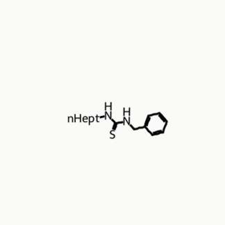 CCCCCCCNC(=S)NCc1ccccc1